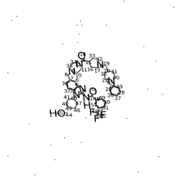 O=C(Nc1nc2cc(CN3CCN(C(=O)C4CCN(CC5CCN(c6ccccc6)CC5)CC4)CC3)ccc2n1[C@H]1CC[C@@H](CO)CC1)c1cccc(C(F)(F)F)c1